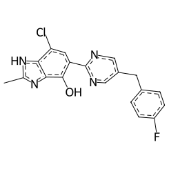 Cc1nc2c(O)c(-c3ncc(Cc4ccc(F)cc4)cn3)cc(Cl)c2[nH]1